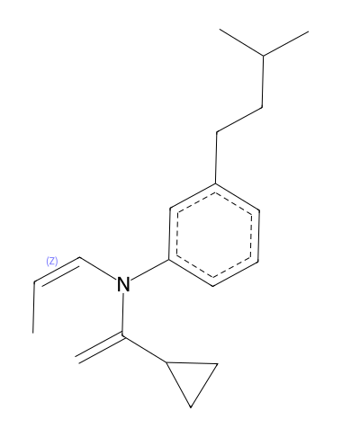 C=C(C1CC1)N(/C=C\C)c1cccc(CCC(C)C)c1